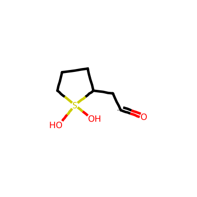 O=[C]CC1CCCS1(O)O